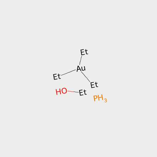 CCO.C[CH2][Au]([CH2]C)[CH2]C.P